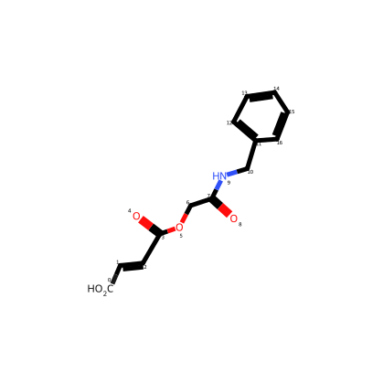 O=C(O)/C=C/C(=O)OCC(=O)NCc1ccccc1